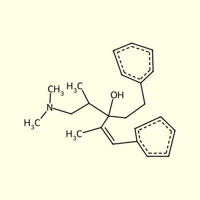 CC(=Cc1ccccc1)C(O)(CCc1ccccc1)C(C)CN(C)C